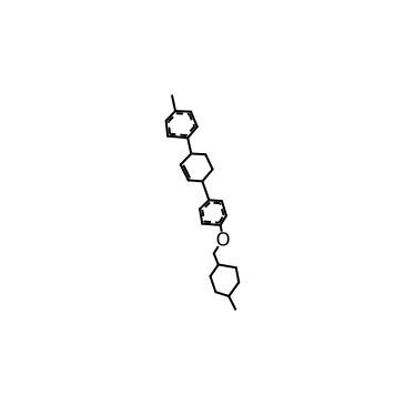 Cc1ccc(C2C=CC(c3ccc(OCC4CCC(C)CC4)cc3)CC2)cc1